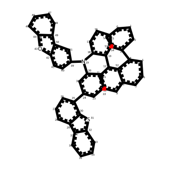 c1ccc(-c2cccc3cccc(-c4ccccc4N(c4cccc(-c5cccc6c5sc5ccccc56)c4)c4ccc5oc6ccccc6c5c4)c23)cc1